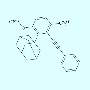 CCCCCCCCCOc1ccc(C(=O)O)c(C#Cc2ccccc2)c1C12CC3CC(CC(C3)C1)C2